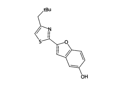 CC(C)(C)Cc1csc(-c2cc3cc(O)ccc3o2)n1